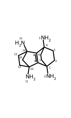 NC12CCC(N)(CC1)C1=C2C2(N)CCC1(N)C2